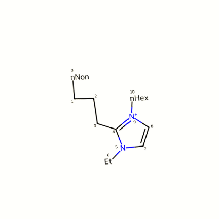 CCCCCCCCCCCCc1n(CC)cc[n+]1CCCCCC